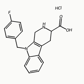 Cl.O=C(O)C1Cc2c(n(Cc3ccc(F)cc3)c3ccccc23)CN1